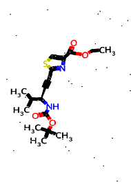 CCOC(=O)c1csc(C#C[C@@H](NC(=O)OC(C)(C)C)C(C)C)n1